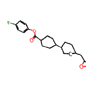 O=C(Oc1ccc(F)cc1)C1CCC(C2CCC(CC3CO3)CC2)CC1